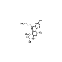 CCc1nc(NC(CC)CC)c(OC)nc1-c1ccc(C(C)C)nc1NCCCO